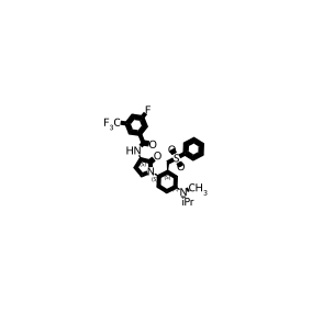 CC(C)N(C)[C@@H]1CC[C@H](N2CC[C@H](NC(=O)c3cc(F)cc(C(F)(F)F)c3)C2=O)[C@@H](CS(=O)(=O)c2ccccc2)C1